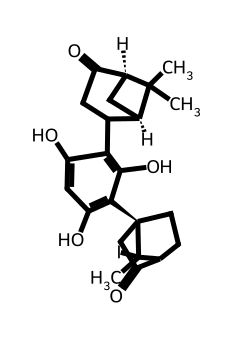 CC1(C)[C@@H]2C[C@H]1C(=O)CC2c1c(O)cc(O)c([C@]23CCC(C(=O)C2)C3(C)I)c1O